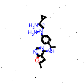 Cc1cc2c(NC(C)c3ccc(N(N)/C=C(\N)C4CC4)cc3)ncnc2o1